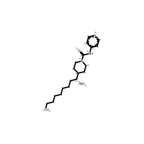 CCCCCCCC[C@@H](N)C1CCN(C(=O)Nc2ccncc2)CC1